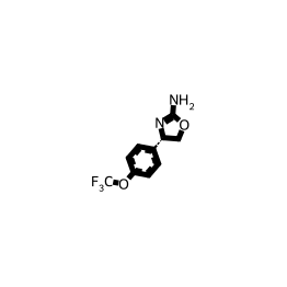 NC1=N[C@@H](c2ccc(OC(F)(F)F)cc2)CO1